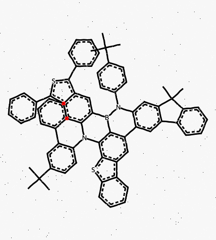 CC(C)(C)c1ccc(N2B3c4cc5c(-c6ccccc6)sc(-c6ccccc6)c5cc4N(c4ccc(C(C)(C)C)cc4-c4ccccc4)c4c3c(cc3c4sc4ccccc43)-c3cc4c(cc32)C(C)(C)c2ccccc2-4)cc1